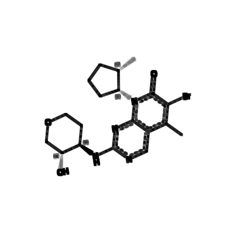 Cc1c(Br)c(=O)n([C@@H]2CCC[C@@H]2C)c2nc(N[C@@H]3CCOC[C@H]3O)ncc12